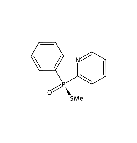 CS[P@@](=O)(c1ccccc1)c1ccccn1